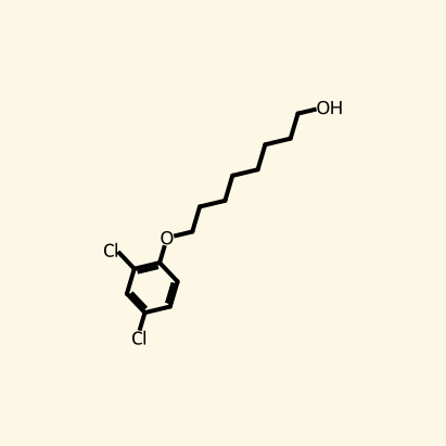 OCCCCCCCCOc1ccc(Cl)cc1Cl